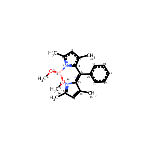 COB(OC)n1c(C)cc(C)c1/C(=C1\N=C(C)C=C1C)c1ccccc1